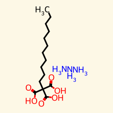 CCCCCCCCCCCC(C(=O)O)(C(=O)O)C(=O)O.N.N.N